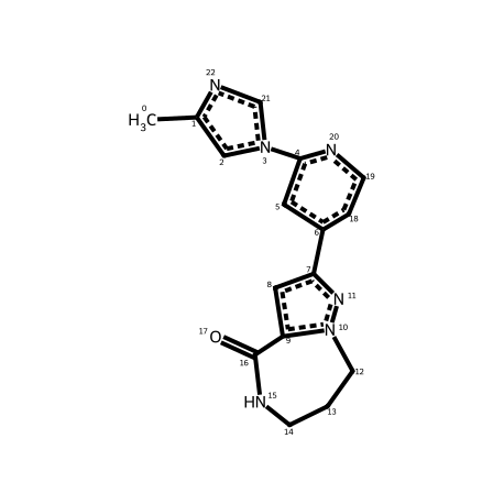 Cc1cn(-c2cc(-c3cc4n(n3)CCCNC4=O)ccn2)cn1